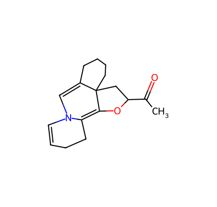 CC(=O)C1CC23CCCCC2=CN2C=CCCC2=C3O1